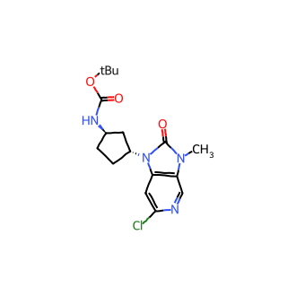 Cn1c(=O)n([C@@H]2CC[C@@H](NC(=O)OC(C)(C)C)C2)c2cc(Cl)ncc21